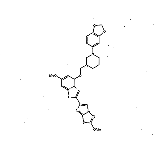 COc1cc(OCC2CCCN(c3ccc4c(c3)OCO4)C2)c2cc(-c3cn4nc(OC)sc4n3)oc2c1